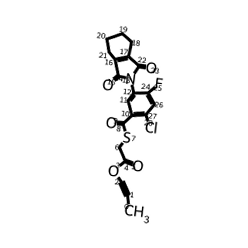 CC#COC(=O)CSC(=O)c1cc(N2C(=O)C3=C(CCCC3)C2=O)c(F)cc1Cl